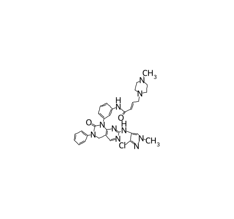 CN1CCN(C/C=C/C(=O)Nc2cccc(N3C(=O)N(c4ccccc4)Cc4cnc(Nc5cn(C)nc5Cl)nc43)c2)CC1